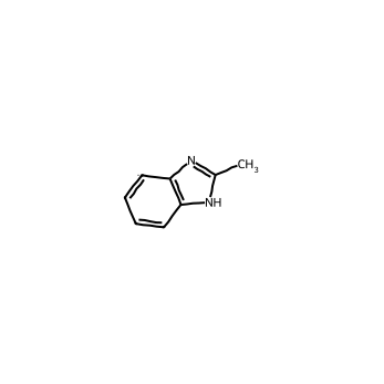 Cc1nc2[c]cccc2[nH]1